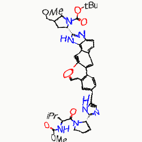 COCC1C[C@@H](c2nc3ccc4cc5c(cc4c3[nH]2)OCc2cc(-c3cnc([C@@H]4CCCN4C(=O)[C@@H](NC(=O)OC)C(C)C)[nH]3)ccc2-5)N(C(=O)OC(C)(C)C)C1